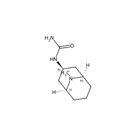 CN1[C@@H]2CCC[C@H]1C[C@@H](NC(N)=O)C2